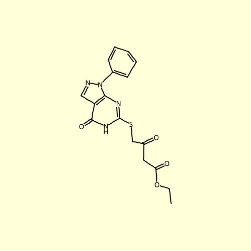 CCOC(=O)CC(=O)CSc1nc2c(cnn2-c2ccccc2)c(=O)[nH]1